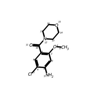 COc1cc(N)c(Cl)cc1C(=O)N1CCOCC1